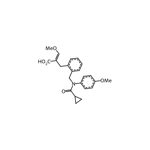 COC=C(Cc1ccccc1CN(C(=O)C1CC1)c1ccc(OC)cc1)C(=O)O